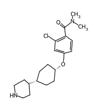 CN(C)C(=O)c1ccc(O[C@H]2CC[C@@H](C3CCNCC3)CC2)cc1Cl